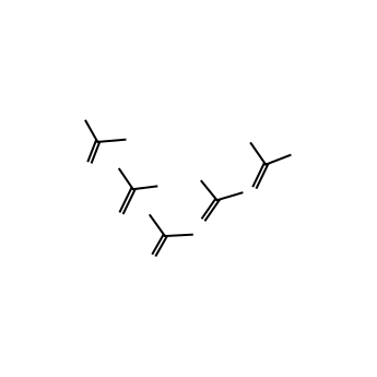 C=C(C)C.C=C(C)C.C=C(C)C.C=C(C)C.C=C(C)C